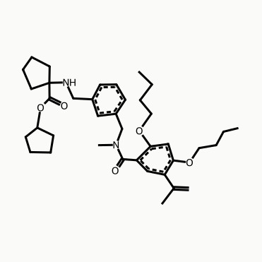 C=C(C)c1cc(C(=O)N(C)Cc2cccc(CNC3(C(=O)OC4CCCC4)CCCC3)c2)c(OCCCC)cc1OCCCC